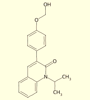 CC(C)n1c(=O)c(-c2ccc(OCO)cc2)cc2ccccc21